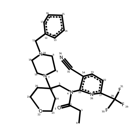 CCC(=O)N(CC1(N2CCN(Cc3ccccc3)CC2)CCOCC1)c1nc(C(F)(F)F)ccc1C#N